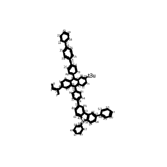 C/C=C(/C)c1ccc2c(-c3ccc(-c4ccc(-c5ccccc5)cc4)cc3)c3cc(C(C)(C)C)ccc3c(-c3ccc(-c4ccc5c(c4)c4cc(-c6ccccc6)ccc4n5-c4ccccc4)cc3)c2c1